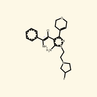 N/C(=C(/Cl)c1c(C2=CCOCC2)nn(CCN2CCC(F)C2)c1N)c1ccccc1